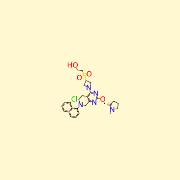 CN1CCC[C@H]1COc1nc2c(c(N3CC(S(=O)(=O)CCO)C3)n1)CCN(c1cccc3cccc(Cl)c13)C2